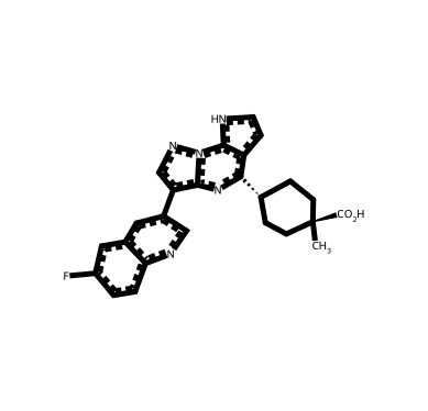 C[C@]1(C(=O)O)CC[C@H](c2nc3c(-c4cnc5ccc(F)cc5c4)cnn3c3[nH]ccc32)CC1